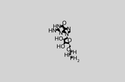 CNc1nc2c(ncn2[C@@H]2O[C@H](COPPP)C(O)[C@@H]2O)c(=O)[nH]1